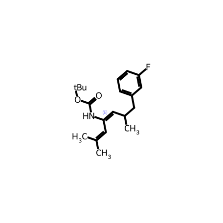 CC(C)=C/C(=C\C(C)Cc1cccc(F)c1)NC(=O)OC(C)(C)C